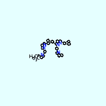 C=C/C=C\c1c(C)ccc2ccc(-c3cccc(-c4ccc5ccc6ccc(-c7ccc8c9c(cccc79)-c7ccc(-c9cc(-c%10ccc(-c%11ccc%12ccc%13ccccc%13c%12n%11)cc%10)nc%10c9ccc9ccc(-c%11ccc%12c(c%11)-c%11cccc%13cccc-%12c%11%13)nc9%10)cc7-8)nc6c5n4)c3)nc12